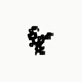 CC[C@H](C)NC(=O)Cc1c(C)n(C(=O)c2ccc(OC(F)(F)F)cc2)c2cc(F)c(O)c(F)c12